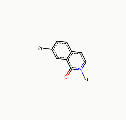 CCn1ccc2ccc(C(C)C)cc2c1=O